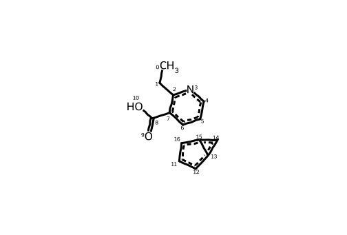 CCc1ncccc1C(=O)O.c1cc2cc-2c1